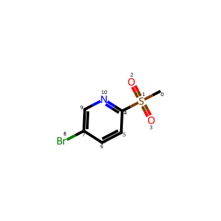 CS(=O)(=O)c1c[c]c(Br)cn1